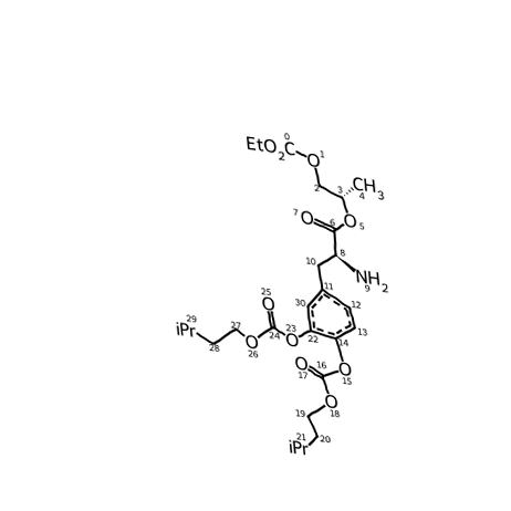 CCOC(=O)OC[C@H](C)OC(=O)[C@@H](N)Cc1ccc(OC(=O)OCCC(C)C)c(OC(=O)OCCC(C)C)c1